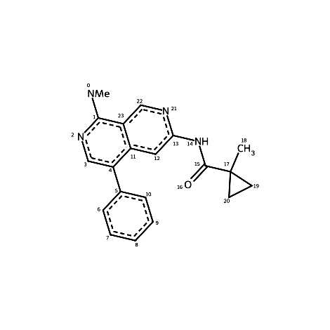 CNc1ncc(-c2ccccc2)c2cc(NC(=O)C3(C)CC3)ncc12